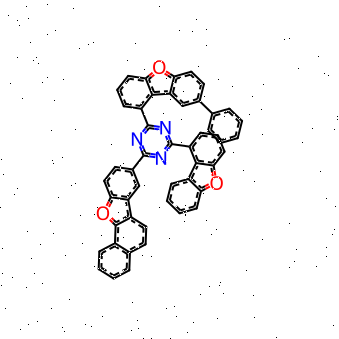 c1ccc(-c2ccc3oc4cccc(-c5nc(-c6ccc7oc8c9ccccc9ccc8c7c6)nc(-c6cccc7oc8ccccc8c67)n5)c4c3c2)cc1